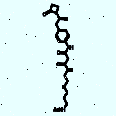 CC(=O)NCCCOCCNC(=O)CC(=O)Nc1ccc(CC(=O)N2CCC2=O)cc1